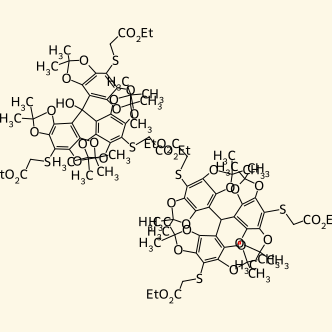 CCOC(=O)CSc1c2c(c(C(O)(c3c4c(c(SCC(=O)OCC)c5c3OC(C)(C)O5)OC(C)(C)O4)c3c4c(c(SCC(=O)OCC)c5c3OC(C)(C)O5)OC(C)(C)O4)c3c1OC(C)(C)O3)OC(C)(C)O2.CCOC(=O)CSc1c2c(c(C(c3c4c(c(SCC(=O)OCC)c5c3OC(C)(C)O5)OC(C)(C)O4)c3c4c(c(SCC(=O)OCC)c5c3OC(C)(C)O5)OC(C)(C)O4)c3c1OC(C)(C)O3)OC(C)(C)O2